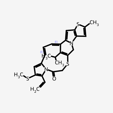 C=Cc1c(SC)cc2n1C(=O)CSC1=C(C(C)C)/C(=C\C=C\2)c2cc3sc(C)cc3n2C1